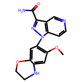 COc1cc2c(cc1-n1nc(C(N)=O)c3cnccc31)OCCN2